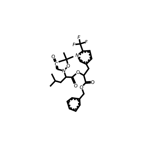 CC(C)CC(C(=O)OC(Cc1ccc(C(F)(F)F)nc1)C(=O)OCc1ccccc1)N(C=C=O)OC(C)(C)C